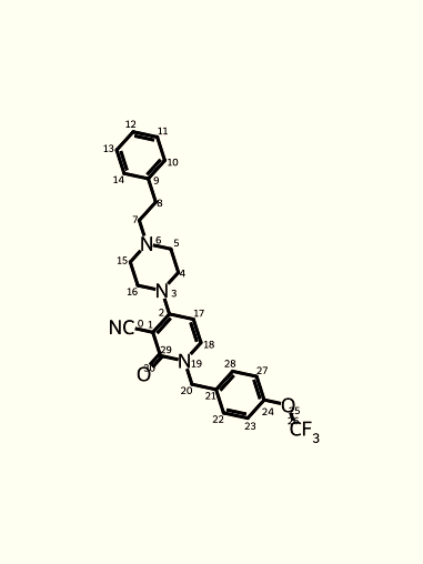 N#Cc1c(N2CCN(CCc3ccccc3)CC2)ccn(Cc2ccc(OC(F)(F)F)cc2)c1=O